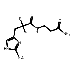 NC(=O)CCNC(=O)C(F)(F)Cc1c[nH]c([N+](=O)[O-])n1